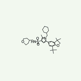 Cc1c(S(=O)(=O)NCC2CCOCC2)cc(-c2cc(C(C)(C)C)c3c(c2)C(C)(C)CO3)n1CC1CCCCC1